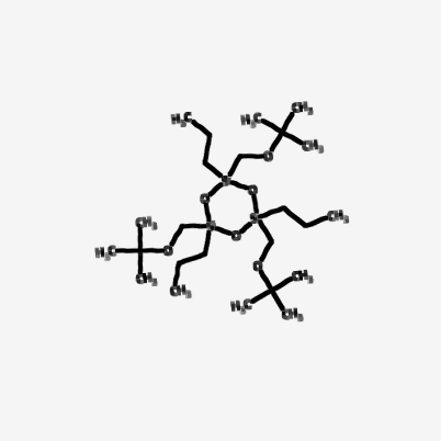 CCC[Si]1(COC(C)(C)C)O[Si](CCC)(COC(C)(C)C)O[Si](CCC)(COC(C)(C)C)O1